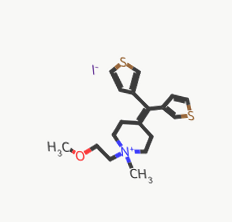 COCC[N+]1(C)CCC(=C(c2ccsc2)c2ccsc2)CC1.[I-]